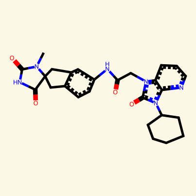 CN1C(=O)NC(=O)C12Cc1ccc(NC(=O)Cn3c(=O)n(C4CCCCC4)c4ncccc43)cc1C2